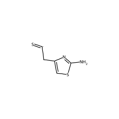 Nc1nc(C[C]=S)cs1